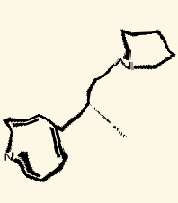 [CH2][C@@H](CN1CCCC1)c1ccncc1